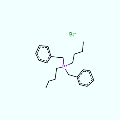 CCCC[P+](CCCC)(Cc1ccccc1)Cc1ccccc1.[Br-]